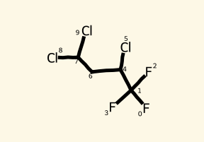 FC(F)(F)C(Cl)CC(Cl)Cl